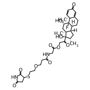 C[C@H]1C[C@H]2[C@@H]3CCC4=CC(=O)C=C[C@]4(C)[C@@]3(F)[C@@H](O)C[C@]2(C)[C@@]1(O)C(=O)COC(=O)CNC(=O)CCOCCSC1CC(=O)NC1=O